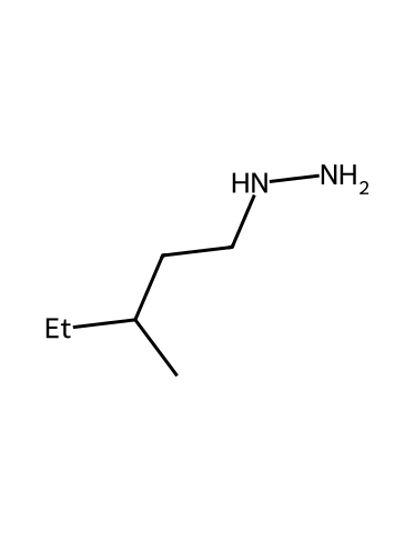 CCC(C)CCNN